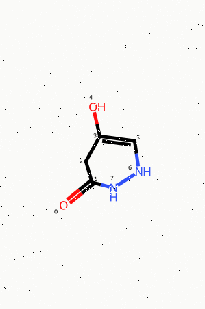 O=C1CC(O)=CNN1